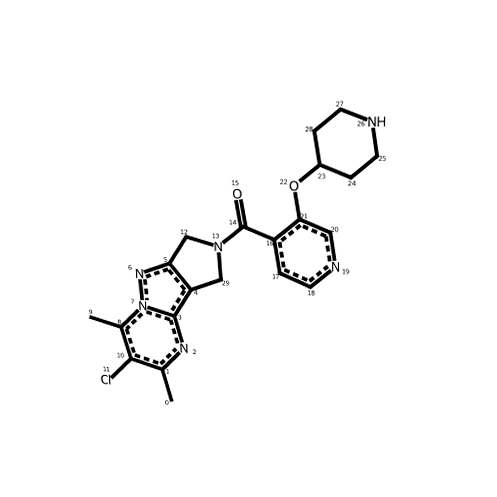 Cc1nc2c3c(nn2c(C)c1Cl)CN(C(=O)c1ccncc1OC1CCNCC1)C3